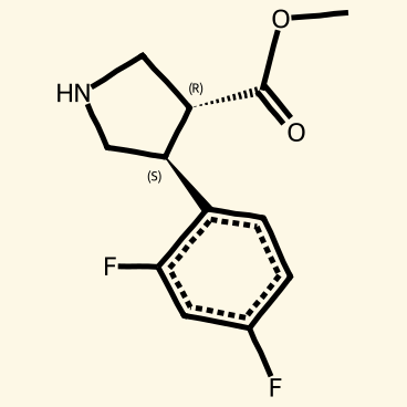 COC(=O)[C@H]1CNC[C@@H]1c1ccc(F)cc1F